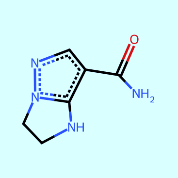 NC(=O)c1cnn2c1NCC2